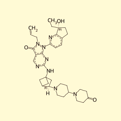 C=CCn1c(=O)c2cnc(NC34CC(C3)[C@H](N3CCC(N5CCC(=O)CC5)CC3)C4)nc2n1-c1ccc2c(n1)[C@@](O)(CC)CC2